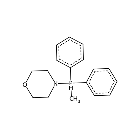 C[PH](c1ccccc1)(c1ccccc1)N1CCOCC1